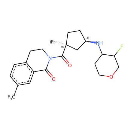 CC(C)[C@]1(C(=O)N2CCc3ccc(C(F)(F)F)cc3C2=O)CC[C@@H](NC2CCOCC2F)C1